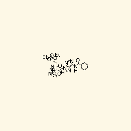 CCOP(=O)(/C=C/[C@@]1(N=[N+]=[N-])O[C@@H](n2cnc3c(NC(=O)c4ccccc4)ncnc32)[C@@H]2OC(C)(C)O[C@@H]21)OCC